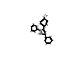 CC(C)c1ccc(C2=CC(c3ccccc3)NN2c2ccccc2)cc1